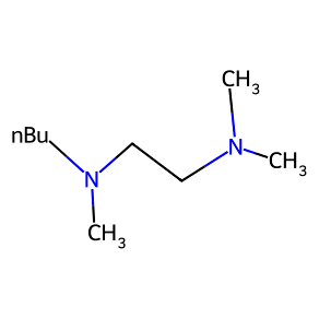 CCCCN(C)CCN(C)C